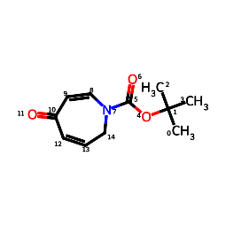 CC(C)(C)OC(=O)N1C=CC(=O)C=CC1